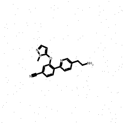 Cn1nccc1Oc1cc(C#N)ccc1-c1ccc(CCN)cn1